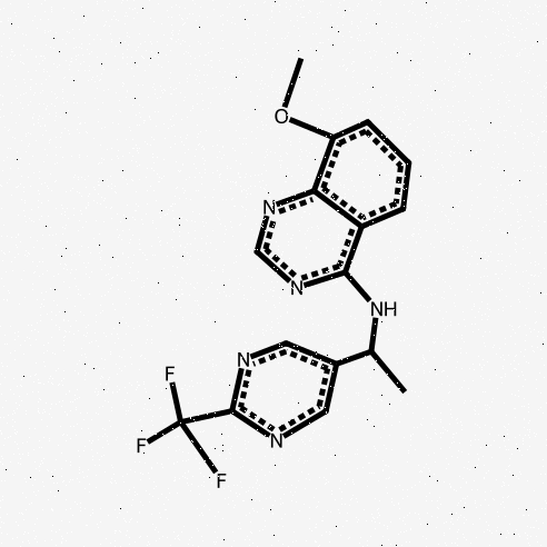 COc1cccc2c(NC(C)c3cnc(C(F)(F)F)nc3)ncnc12